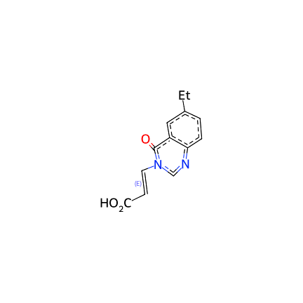 CCc1ccc2ncn(/C=C/C(=O)O)c(=O)c2c1